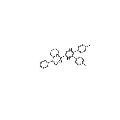 Cc1ccc(-c2ncc(C(=O)N3CCCCC3C(=O)c3ccccc3)nc2-c2ccc(C)cc2)cc1